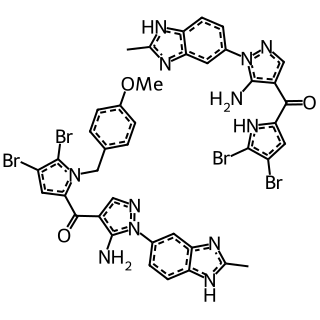 COc1ccc(Cn2c(C(=O)c3cnn(-c4ccc5[nH]c(C)nc5c4)c3N)cc(Br)c2Br)cc1.Cc1nc2cc(-n3ncc(C(=O)c4cc(Br)c(Br)[nH]4)c3N)ccc2[nH]1